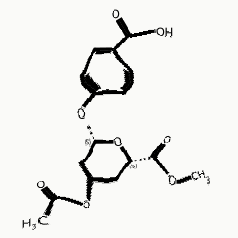 COC(=O)[C@@H]1CC(OC(C)=O)C[C@H](Oc2ccc(C(=O)O)cc2)O1